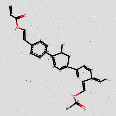 C=CC(=O)O/C=C/c1ccc(C2=CC=C(C(=C)\C=C/C(/C=C/OC(=O)CC)=C\C)CC2C)cc1